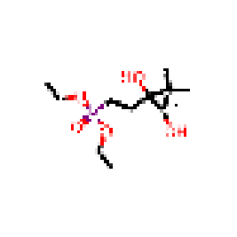 CCOP(=O)(CCC1(O)C(O)C1(C)C)OCC